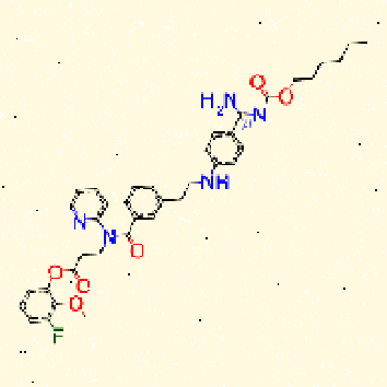 CCCCCCOC(=O)/N=C(\N)c1ccc(NCCc2cccc(C(=O)N(CCC(=O)Oc3cccc(F)c3OC)c3ccccn3)c2)cc1